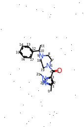 Cc1cc(C(=O)N2CCN(C(C)c3ccccc3)CC2)n(C)n1